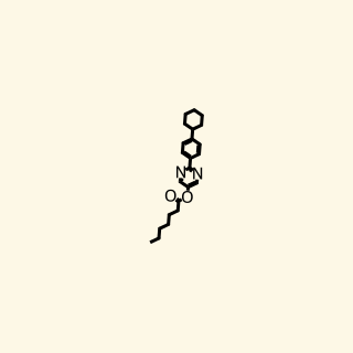 CCCCCCC(=O)Oc1cnc(-c2ccc(C3CCCCC3)cc2)nc1